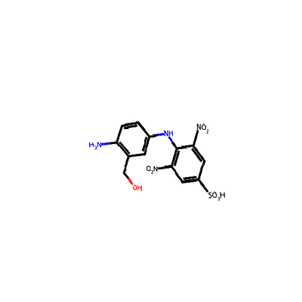 Nc1ccc(Nc2c([N+](=O)[O-])cc(S(=O)(=O)O)cc2[N+](=O)[O-])cc1CO